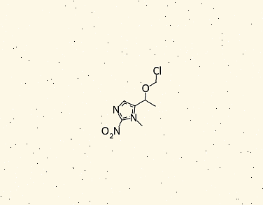 CC(OCCl)c1cnc([N+](=O)[O-])n1C